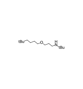 CC(C)(C)CCCCOCCCNC(C)(C)C